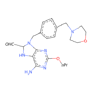 CCCOc1nc(N)c2c(n1)N(Cc1ccc(CN3CCOCC3)cc1)C(C=O)N2